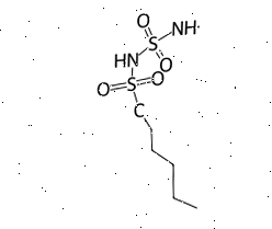 CCCCCCS(=O)(=O)NS([NH])(=O)=O